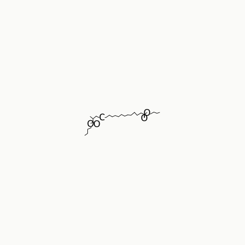 CCCCOC(=O)CCCCCCCCCCCCCCCC(C)C(=O)OCCCC